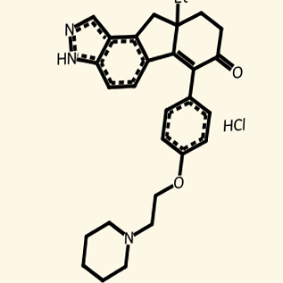 CCC12CCC(=O)C(c3ccc(OCCN4CCCCC4)cc3)=C1c1ccc3[nH]ncc3c1C2.Cl